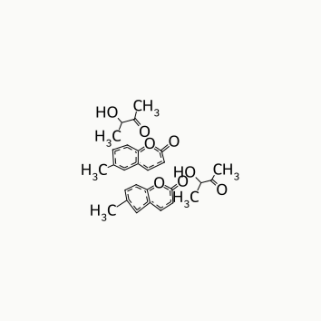 CC(=O)C(C)O.CC(=O)C(C)O.Cc1ccc2oc(=O)ccc2c1.Cc1ccc2oc(=O)ccc2c1